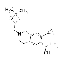 CC(C)c1cc2c(cc1C1CC1)CN(CC1CC(C)(C)O1)CC2